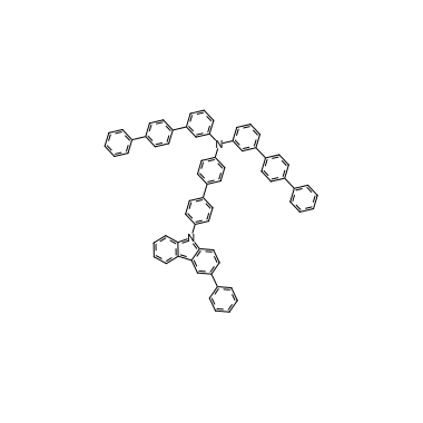 c1ccc(-c2ccc(-c3cccc(N(c4ccc(-c5ccc(-n6c7ccccc7c7cc(-c8ccccc8)ccc76)cc5)cc4)c4cccc(-c5ccc(-c6ccccc6)cc5)c4)c3)cc2)cc1